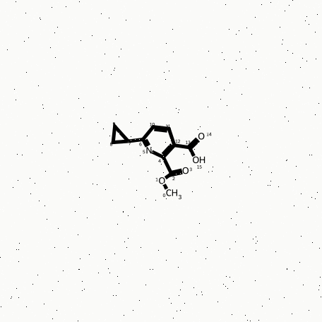 COC(=O)c1nc(C2CC2)ccc1C(=O)O